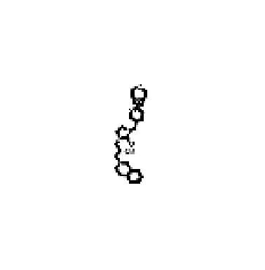 O=C1N(Cc2ccc(N3C4CCC3COC4)nc2)CCN1C[C@H](O)CN1CCc2ccccc2C1